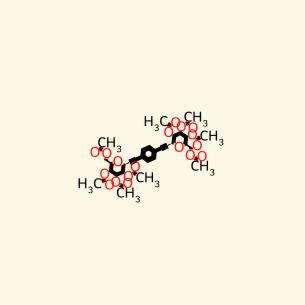 CC(=O)OC[C@H]1O[C@H](C#Cc2ccc(C#C[C@H]3O[C@H](COC(C)=O)[C@@H](OC(C)=O)[C@H](OC(C)=O)[C@@H]3OC(C)=O)cc2)[C@@H](OC(C)=O)[C@@H](OC(C)=O)[C@@H]1OC(C)=O